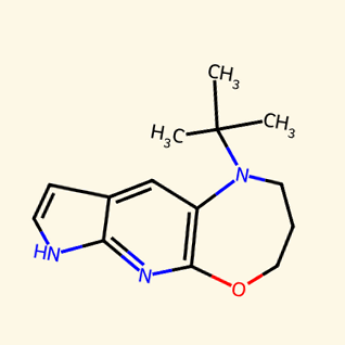 CC(C)(C)N1CCCOc2nc3[nH]ccc3cc21